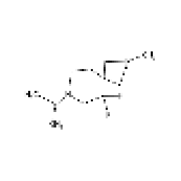 CC(C)N1CCC2(CN(C)C2)C(F)(F)C1